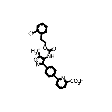 Cc1onc(-c2ccc(-c3cccc(C(=O)O)n3)cc2)c1NC(=O)OCCc1ccccc1Cl